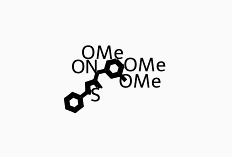 COc1cc(C(N=O)c2csc(-c3ccccc3)c2)cc(OC)c1OC